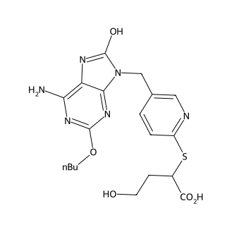 CCCCOc1nc(N)c2nc(O)n(Cc3ccc(SC(CCO)C(=O)O)nc3)c2n1